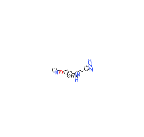 COc1cc(OCc2ccccn2)ccc1C=Cc1cc(C=Cc2ccc3[nH]cnc3c2)n[nH]1